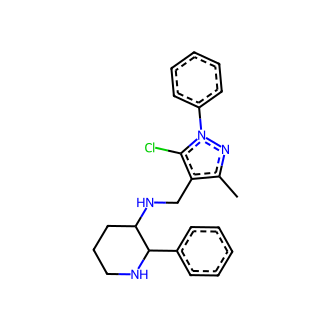 Cc1nn(-c2ccccc2)c(Cl)c1CNC1CCCNC1c1ccccc1